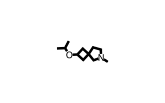 CC(C)OC1CC2(CCN(C)C2)C1